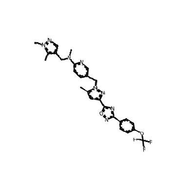 Cc1c(CN(C)c2ccc(Cn3nc(-c4nc(-c5ccc(OC(F)(F)F)cc5)no4)cc3C)cn2)cnn1C